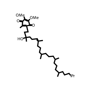 COC1=C(OC)C(=O)C(CCC(C)(O)CCC=C(C)CCCC(C)CCCC(C)CCCC(C)CCCC(C)C)=C(C)C1=O